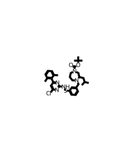 Cc1cccc(C)c1-c1cc(Cl)nc(NSc2cccc(CN3CCCN(C(=O)OC(C)(C)C)CC3CC(C)C)c2)n1